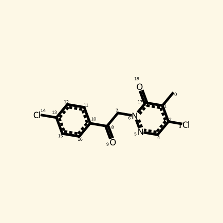 Cc1c(Cl)cnn(CC(=O)c2ccc(Cl)cc2)c1=O